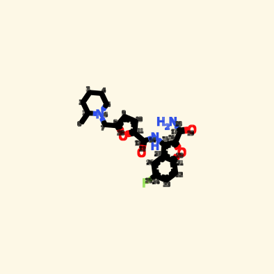 CC1CCCCN1Cc1ccc(C(=O)Nc2c(C(N)=O)oc3ccc(F)cc23)o1